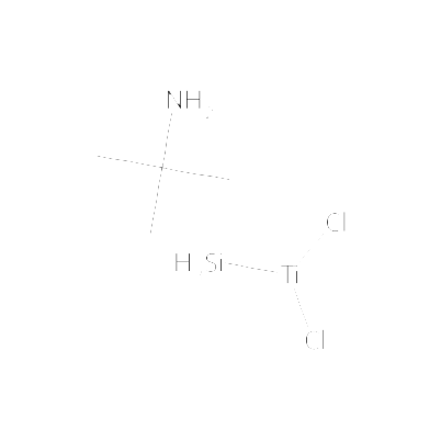 CC(C)(C)N.[SiH3][Ti]([Cl])[Cl]